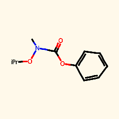 CC(C)ON(C)C(=O)Oc1ccccc1